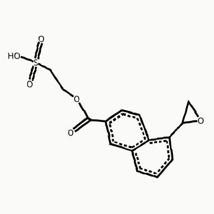 O=C(OCCS(=O)(=O)O)c1ccc2c(C3CO3)cccc2c1